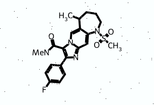 CNC(=O)c1c(-c2ccc(F)cc2)nc2cc3c(cn12)C(C)CCCN3S(C)(=O)=O